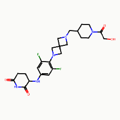 O=C1CCC(Nc2cc(F)c(N3CC4(CN(CC5CCN(C(=O)CO)CC5)C4)C3)c(F)c2)C(=O)N1